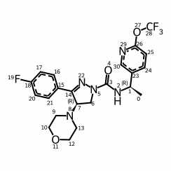 C[C@@H](NC(=O)N1C[C@@H](N2CCOCC2)C(c2ccc(F)cc2)=N1)c1ccc(OC(F)(F)F)nc1